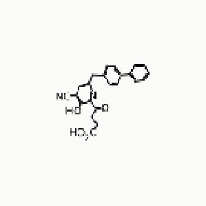 N#Cc1cc(Cc2ccc(-c3ccccc3)cc2)nc(C(=O)CCC(=O)O)c1O